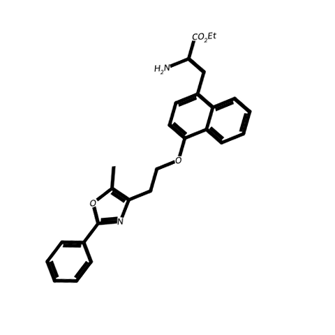 CCOC(=O)C(N)Cc1ccc(OCCc2nc(-c3ccccc3)oc2C)c2ccccc12